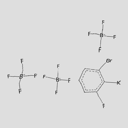 F[B-](F)(F)F.F[B-](F)(F)F.F[B-](F)(F)F.Fc1cccc(Br)[c]1[K]